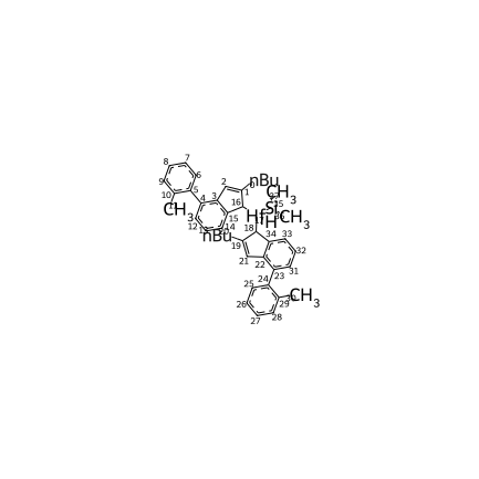 CCCCC1=Cc2c(-c3ccccc3C)cccc2[CH]1[Hf]([CH]1C(CCCC)=Cc2c(-c3ccccc3C)cccc21)[SiH](C)C